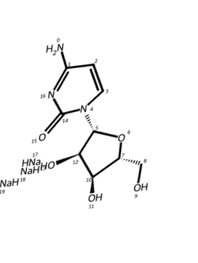 Nc1ccn([C@@H]2O[C@H](CO)[C@@H](O)[C@H]2O)c(=O)n1.[NaH].[NaH].[NaH]